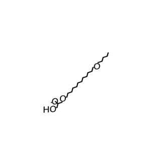 CCCCCOCCCCCCCCCCCCOCC(CO)OC